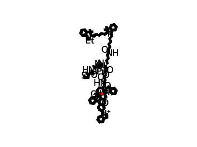 CC[N+]1=C(/C=C/C=C/C=C2/N(CCCCCC(=O)NCCCC[C@@H](C(=O)COC(=O)CNC(=O)C3CCN(S(=O)(=O)c4ccccc4-c4c5cc/c(=[N+]6/CCc7ccccc76)cc-5oc5cc(N6CCc7ccccc76)ccc45)CC3)n3cc([C@@](C)(NC(=O)c4ccsc4)C(C)C)nn3)c3ccccc3C2(C)C)C(C)(C)c2ccccc21